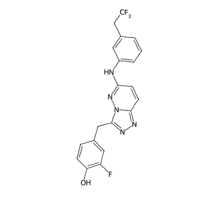 Oc1ccc(Cc2nnc3ccc(Nc4cccc(CC(F)(F)F)c4)nn23)cc1F